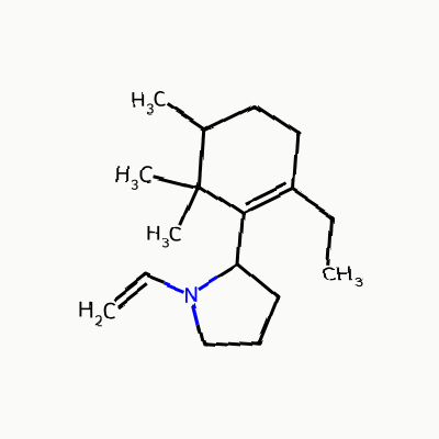 C=CN1CCCC1C1=C(CC)CCC(C)C1(C)C